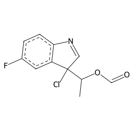 CC(OC=O)C1(Cl)C=Nc2ccc(F)cc21